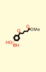 COC(=O)CCCC(=O)c1ccc(B(O)O)cc1